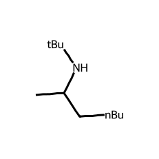 CCCCCC(C)NC(C)(C)C